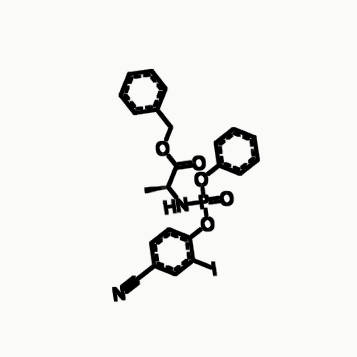 C[C@H](NP(=O)(Oc1ccccc1)Oc1ccc(C#N)cc1I)C(=O)OCc1ccccc1